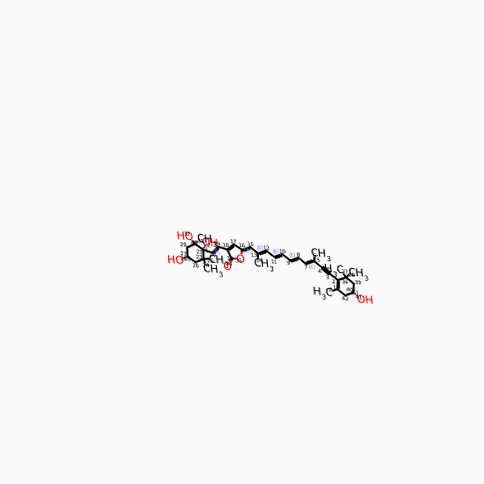 CC1=C(C#C/C(C)=C/C=C/C=C/C=C(C)/C=C2C=C(/C=C/[C@@]3(O)C(C)(C)C[C@H](O)C[C@@]3(C)O)C(=O)O/2)C(C)(C)C[C@H](O)C1